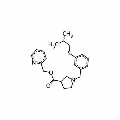 CC(C)CSc1cccc(CN2CCC(C(=O)OCc3ccccn3)C2)c1